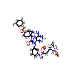 Cc1cccc(COc2ccc(-n3c(=O)n(-c4cccc(N(C)C(=O)/C=C/C[N+](C)([O-])C5CC5)c4)c4ncnc(N)c43)cc2)c1